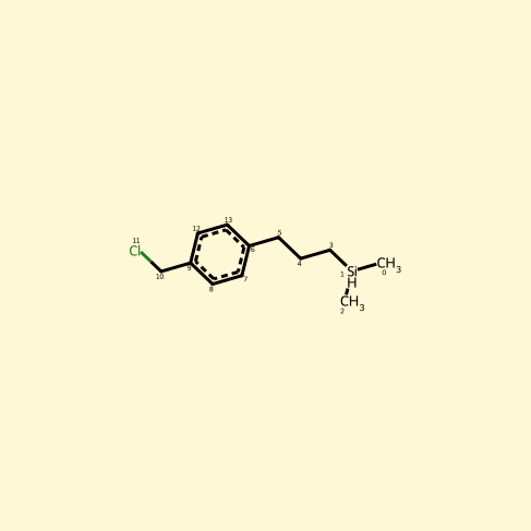 C[SiH](C)CCCc1ccc(CCl)cc1